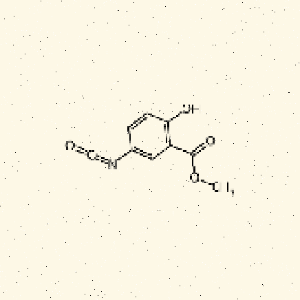 COC(=O)c1cc(N=C=O)ccc1O